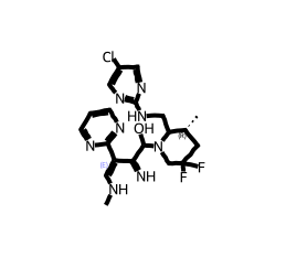 CN/C=C(\C(=N)C(O)N1CC(F)(F)C[C@@H](C)C1CNc1ncc(Cl)cn1)c1ncccn1